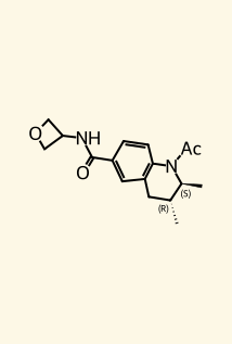 CC(=O)N1c2ccc(C(=O)NC3COC3)cc2C[C@@H](C)[C@@H]1C